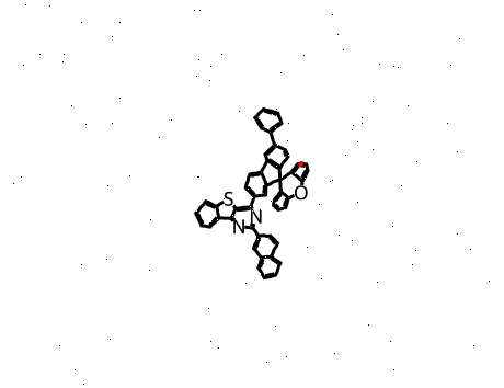 c1ccc(-c2ccc3c(c2)-c2ccc(-c4nc(-c5ccc6ccccc6c5)nc5c4sc4ccccc45)cc2C32c3ccccc3Oc3ccccc32)cc1